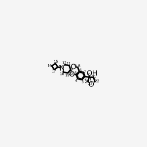 OC1(c2ccc3c(c2)COC2(CCN(C4CCC4)CC2)O3)CCOC1